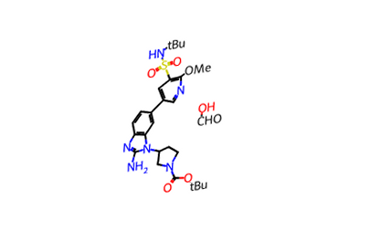 COc1ncc(-c2ccc3nc(N)n(C4CCN(C(=O)OC(C)(C)C)C4)c3c2)cc1S(=O)(=O)NC(C)(C)C.O=CO